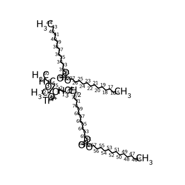 C=CCOC(CC)(OCC=C)C(C)[O][Ti+2].CCCCCCCCCCCCCOP([O-])OCCCCCCCCCCCCC.CCCCCCCCCCCCCOP([O-])OCCCCCCCCCCCCC